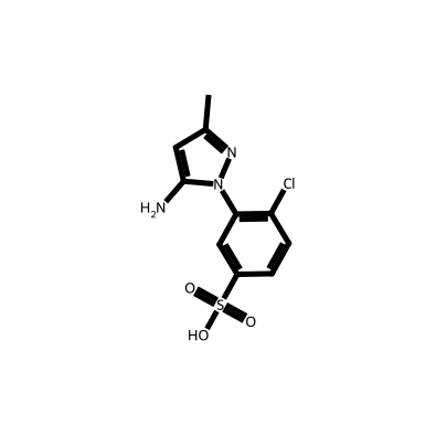 Cc1cc(N)n(-c2cc(S(=O)(=O)O)ccc2Cl)n1